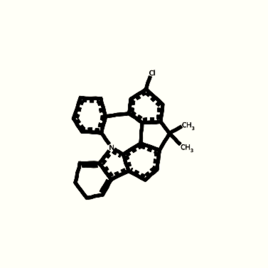 CC1(C)c2cc(Cl)cc3c2-c2c1ccc1c4c(n(c21)-c1ccccc1-3)=CCCC=4